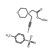 CCCCCCCCCCOC(=O)C[N+]1(CC#CI)CCOCC1.Cc1ccc(S(=O)(=O)[O-])cc1